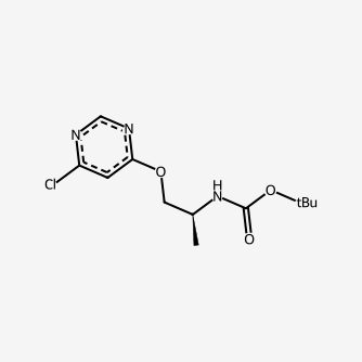 C[C@@H](COc1cc(Cl)ncn1)NC(=O)OC(C)(C)C